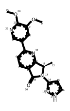 COc1cc(-c2ccc3c(n2)[C@@H](C)N(c2cc[nH]n2)C3=O)cnc1OC